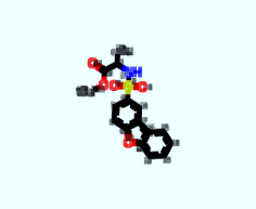 CCC(C)C(NS(=O)(=O)c1ccc2oc3ccccc3c2c1)C(=O)OC(C)(C)C